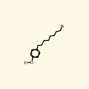 CCOc1ccc(CCCCCCCCBr)cc1